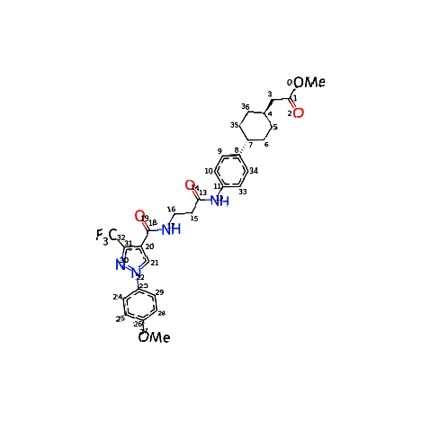 COC(=O)C[C@H]1CC[C@H](c2ccc(NC(=O)CCNC(=O)c3cn(-c4ccc(OC)cc4)nc3C(F)(F)F)cc2)CC1